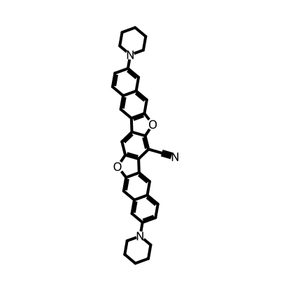 N#Cc1c2oc3cc4cc(N5CCCCC5)ccc4cc3c2cc2oc3cc4cc(N5CCCCC5)ccc4cc3c12